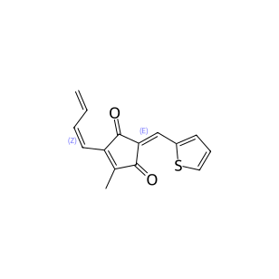 C=C/C=C\C1=C(C)C(=O)/C(=C\c2cccs2)C1=O